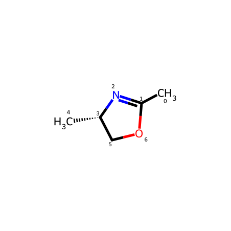 CC1=N[C@@H](C)CO1